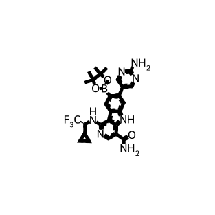 CC1(C)OB(c2cc3c(cc2-c2cnc(N)nc2)[nH]c2c(C(N)=O)cnc(N[C@H](C4CC4)C(F)(F)F)c23)OC1(C)C